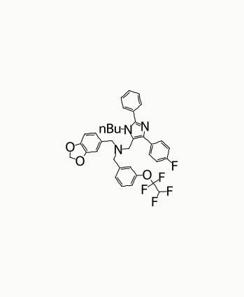 CCCCn1c(-c2ccccc2)nc(-c2ccc(F)cc2)c1CN(Cc1cccc(OC(F)(F)C(F)F)c1)Cc1ccc2c(c1)OCO2